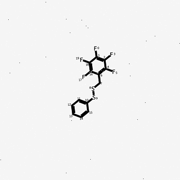 Fc1c(F)c(F)c(CSSc2ccccc2)c(F)c1F